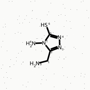 NCc1nnc(S)n1N